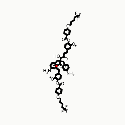 COc1cc(/C=C/C(=O)C(O)C(Cc2ccc(N)cc2)(Cc2ccc(N)cc2)C(O)C(=O)/C=C/c2ccc(OC(=O)c3ccc(OCCCCC(F)(F)F)cc3)c(OC)c2)ccc1OC(=O)c1ccc(OCCCCC(F)(F)F)cc1